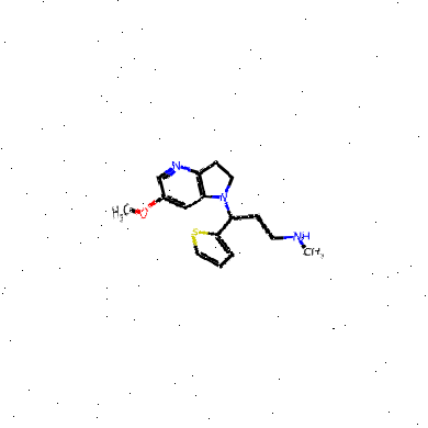 CNCCC(c1cccs1)N1CCc2ncc(OC)cc21